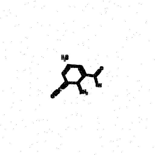 NC1C(=C=O)C=CC=C1C(=O)O.O